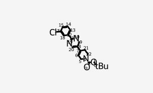 CC(C)(C)OC(=O)N1CC=C(c2cnc(-c3cccc(Cl)c3)nc2)CC1